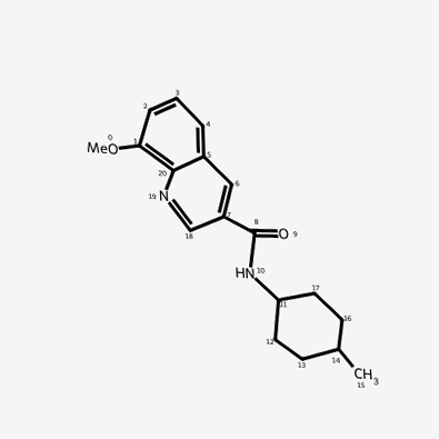 COc1cccc2cc(C(=O)NC3CCC(C)CC3)cnc12